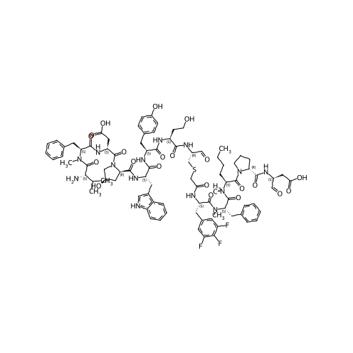 CCCC[C@@H](C(=O)N1CCC[C@@H]1C(=O)N[C@H](C=O)CC(=O)O)N(C)C(=O)[C@H](Cc1ccccc1)N(C)C(=O)[C@H](Cc1cc(F)c(F)c(F)c1)NC(=O)CSC[C@@H](C=O)NC(=O)[C@H](CCO)NC(=O)[C@H](Cc1ccc(O)cc1)NC(=O)[C@H](Cc1c[nH]c2ccccc12)NC(=O)[C@H]1C[C@@H](O)CN1C(=O)[C@H](CC(=O)O)NC(=O)[C@H](Cc1ccccc1)N(C)C(=O)[C@@H](N)C(C)C